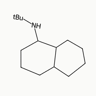 CC(C)(C)NC1CCCC2CCCCC21